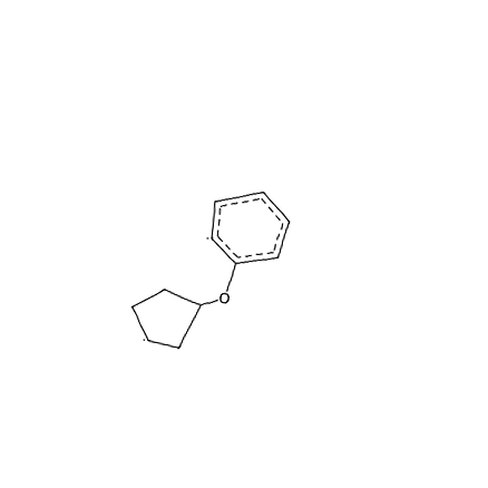 [c]1ccccc1OC1C[CH]CC1